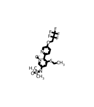 CCSc1cc(N=S(C)(C)=O)c[n+]([O-])c1-c1ccc(OCC(F)(F)C(F)(F)F)cn1